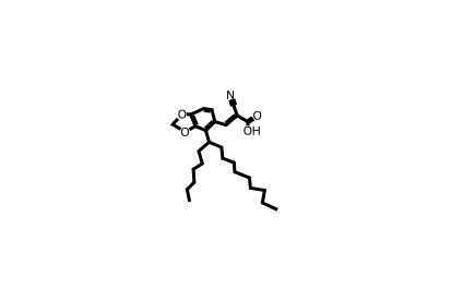 CCCCCCCCCC(CCCCCC)c1c(/C=C(\C#N)C(=O)O)ccc2c1OCO2